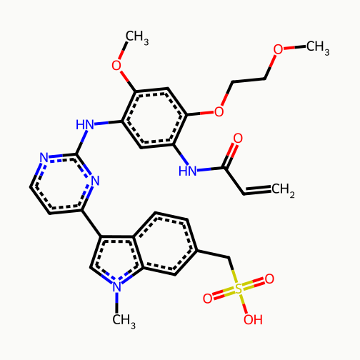 C=CC(=O)Nc1cc(Nc2nccc(-c3cn(C)c4cc(CS(=O)(=O)O)ccc34)n2)c(OC)cc1OCCOC